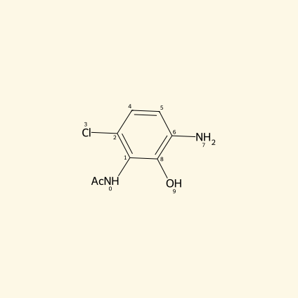 CC(=O)Nc1c(Cl)ccc(N)c1O